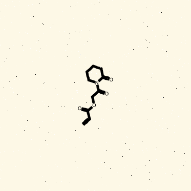 C=CC(=O)OCC(=O)N1CCCCC1=O